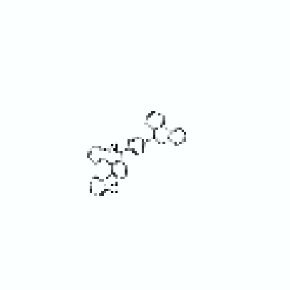 c1ccc2c(c1)cc(-c1ccc(-c3nc4ccccc4c4c3ccc3oc5ccccc5c34)cc1)c1ccccc12